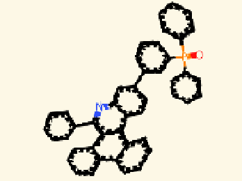 O=P(c1ccccc1)(c1ccccc1)c1cccc(-c2ccc3c(c2)nc(-c2ccccc2)c2c4ccccc4c4ccccc4c32)c1